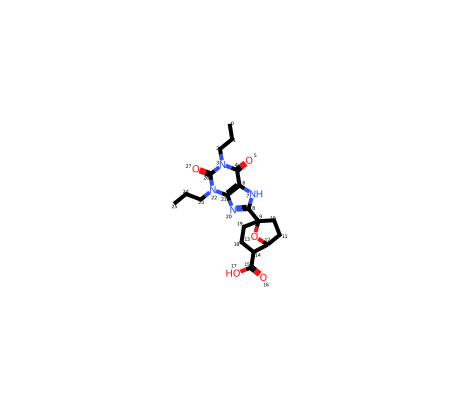 CCCn1c(=O)c2[nH]c(C34CCC(O3)C(C(=O)O)CC4)nc2n(CCC)c1=O